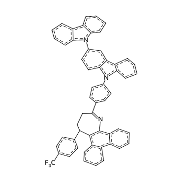 FC(F)(F)c1ccc(C2CCC(c3ccc(-n4c5ccccc5c5cc(-n6c7ccccc7c7ccccc76)ccc54)cc3)=Nc3c2c2ccccc2c2ccccc32)cc1